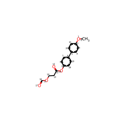 COc1ccc(-c2ccc(OC(=O)CCOC=O)cc2)cc1